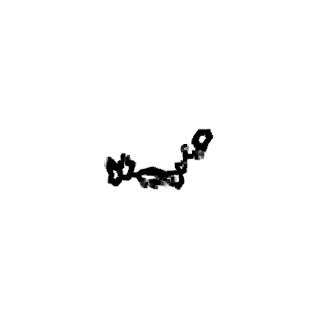 O=C(Nc1ccccc1)N1CC2(CCn3nc(-c4cnc5ccccc5c4)cc32)C1